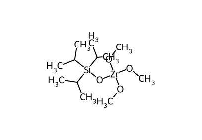 C[O][Zr]([O]C)([O]C)[O][Si](C(C)C)(C(C)C)C(C)C